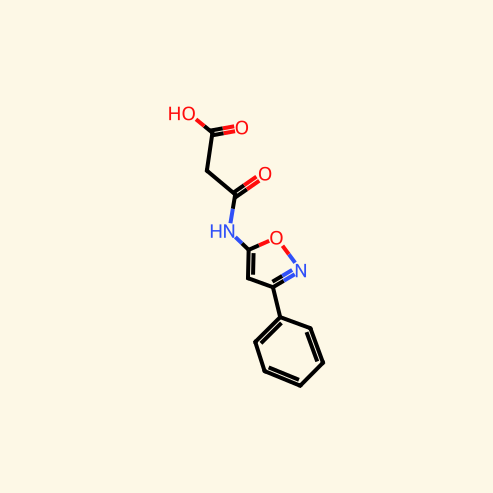 O=C(O)CC(=O)Nc1cc(-c2ccccc2)no1